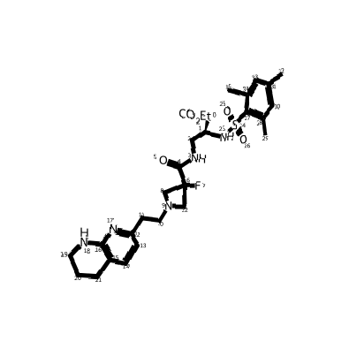 CCOC(=O)[C@H](CNC(=O)C1(F)CN(CCc2ccc3c(n2)NCCC3)C1)NS(=O)(=O)c1c(C)cc(C)cc1C